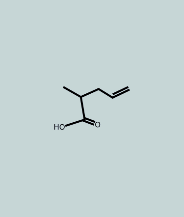 C=CCC(C)C(=O)O